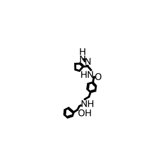 O=C(NCc1n[nH]c2c1CCC2)c1ccc(CCNC[C@H](O)c2ccccc2)cc1